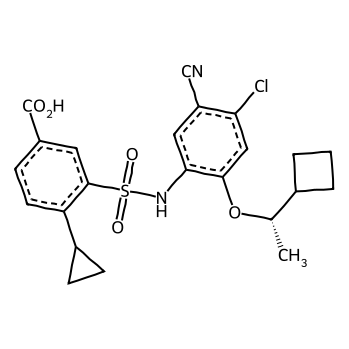 C[C@H](Oc1cc(Cl)c(C#N)cc1NS(=O)(=O)c1cc(C(=O)O)ccc1C1CC1)C1CCC1